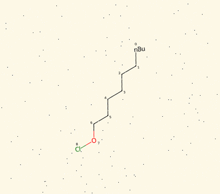 CCCCCCCCCCOCl